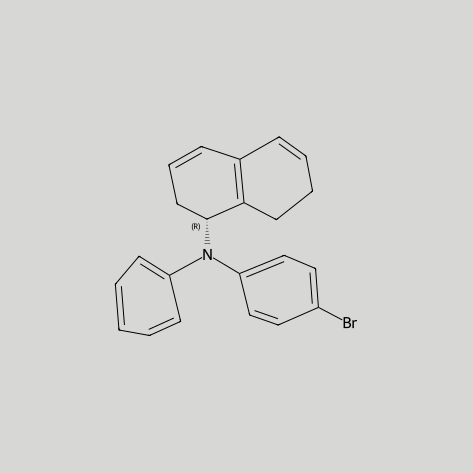 Brc1ccc(N(c2ccccc2)[C@@H]2CC=CC3=C2CCC=C3)cc1